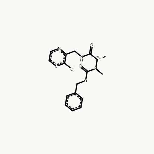 C[C@@H](C(=O)NCc1nccnc1Cl)N(C)C(=O)OCc1ccccc1